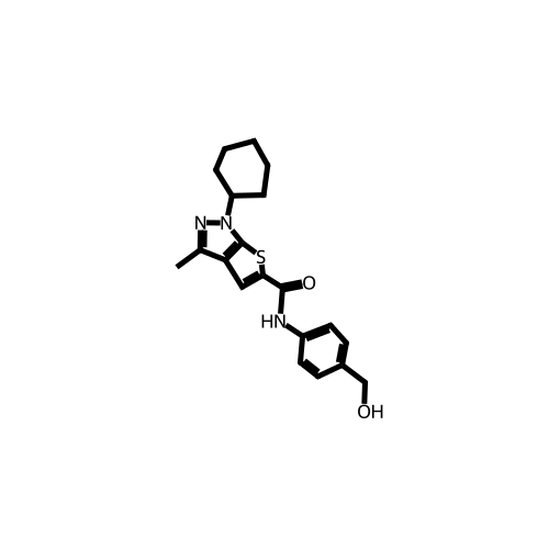 Cc1nn(C2CCCCC2)c2sc(C(=O)Nc3ccc(CO)cc3)cc12